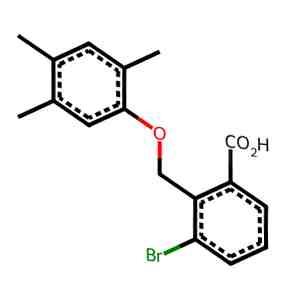 Cc1cc(C)c(OCc2c(Br)cccc2C(=O)O)cc1C